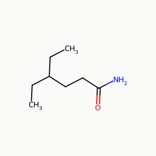 CCC(CC)CCC(N)=O